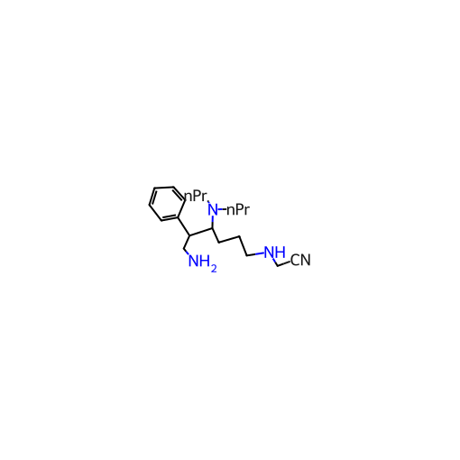 CCCN(CCC)C(CCCNCC#N)C(CN)c1ccccc1